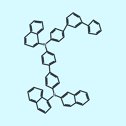 c1ccc(-c2cccc(-c3ccc(N(c4ccc(-c5ccc(N(c6ccc7ccccc7c6)c6cccc7ccccc67)cc5)cc4)c4cccc5ccccc45)cc3)c2)cc1